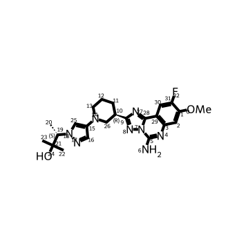 COc1cc2nc(N)n3nc([C@@H]4CCCN(c5cnn([C@@H](C)C(C)(C)O)c5)C4)nc3c2cc1F